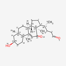 C[C@H](CCC=O)C1CC[C@H]2[C@@H]3CC[C@@H]4C[C@H](O)CC[C@]4(C)C3=CC(=O)[C@]12C